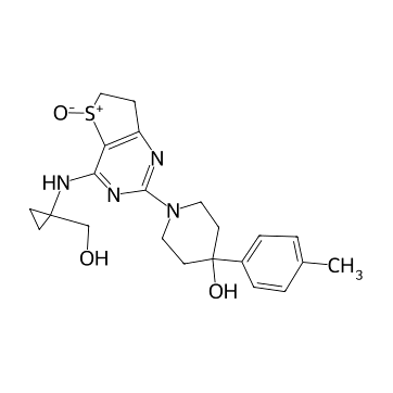 Cc1ccc(C2(O)CCN(c3nc4c(c(NC5(CO)CC5)n3)[S+]([O-])CC4)CC2)cc1